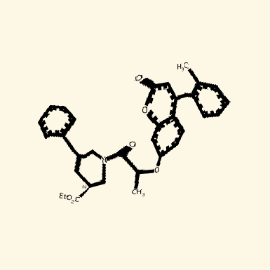 CCOC(=O)[C@H]1CC(c2ccccc2)CN(C(=O)C(C)Oc2ccc3c(-c4ccccc4C)cc(=O)oc3c2)C1